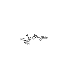 CNC(=O)CCn1cnc2cc(-c3cc(C4CC4)cc(Nc4cc(C#N)ccn4)n3)ccc21